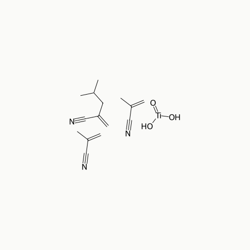 C=C(C#N)CC(C)C.C=C(C)C#N.C=C(C)C#N.[O]=[Ti]([OH])[OH]